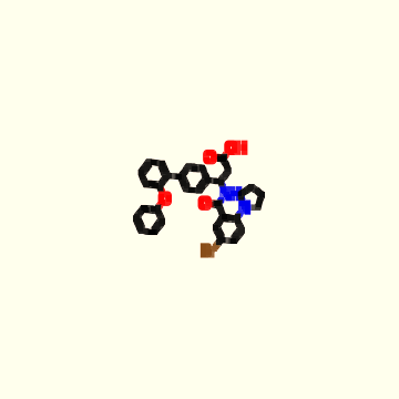 O=C(O)CC(NC(=O)c1cc(Br)ccc1N1CCCC1)c1ccc(-c2ccccc2Oc2ccccc2)cc1